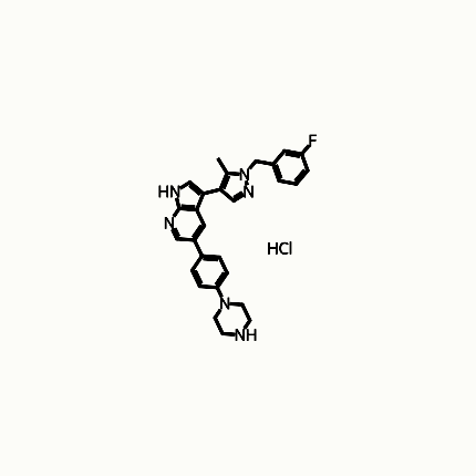 Cc1c(-c2c[nH]c3ncc(-c4ccc(N5CCNCC5)cc4)cc23)cnn1Cc1cccc(F)c1.Cl